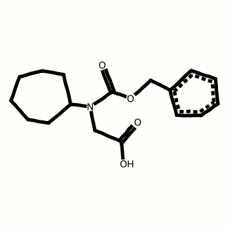 O=C(O)CN(C(=O)OCc1ccccc1)C1CCCCCC1